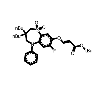 CCCCC1(CCCC)CN(c2ccccc2)c2cc(F)c(O/C=C/C(=O)OC(C)(C)C)cc2S(=O)(=O)C1